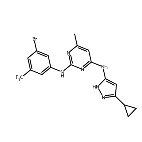 Cc1cc(Nc2cc(C3CC3)n[nH]2)nc(Nc2cc(Br)cc(C(F)(F)F)c2)n1